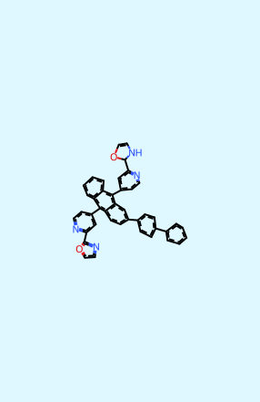 C1=COC(c2cc(-c3c4ccccc4c(-c4ccnc(-c5ncco5)c4)c4ccc(-c5ccc(-c6ccccc6)cc5)cc34)ccn2)N1